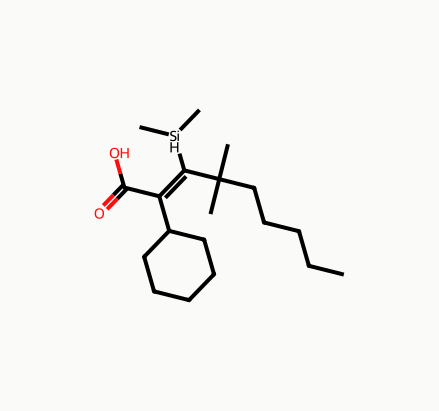 CCCCCC(C)(C)/C(=C(/C(=O)O)C1CCCCC1)[SiH](C)C